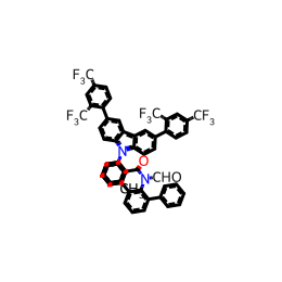 Cc1cccc(-n2c3ccc(-c4ccc(C(F)(F)F)cc4C(F)(F)F)cc3c3cc(-c4ccc(C(F)(F)F)cc4C(F)(F)F)ccc32)c1C(=O)N(C=O)c1c(-c2ccccc2)cccc1-c1ccccc1